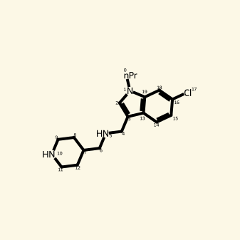 CCCn1cc(CNCC2CCNCC2)c2ccc(Cl)cc21